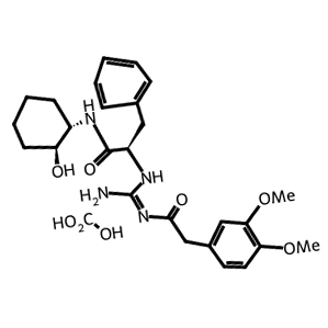 COc1ccc(CC(=O)N=C(N)N[C@H](Cc2ccccc2)C(=O)N[C@H]2CCCC[C@@H]2O)cc1OC.O=C(O)O